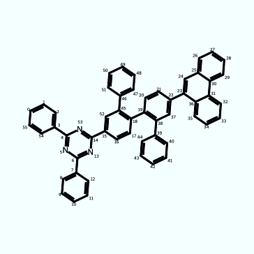 c1ccc(-c2nc(-c3ccccc3)nc(-c3ccc(-c4ccc(-c5cc6ccccc6c6ccccc56)cc4-c4ccccc4)c(-c4ccccc4)c3)n2)cc1